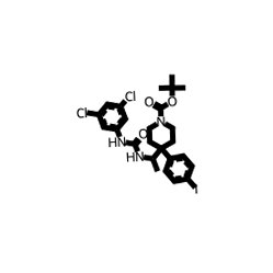 CC(NC(=O)Nc1cc(Cl)cc(Cl)c1)C1(c2ccc(I)cc2)CCN(C(=O)OC(C)(C)C)CC1